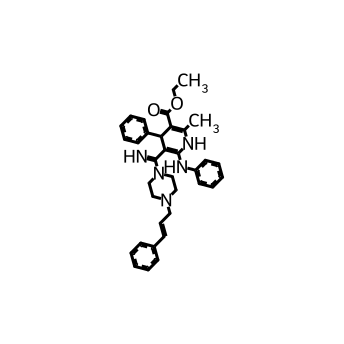 CCOC(=O)C1=C(C)NC(Nc2ccccc2)=C(C(=N)N2CCN(C/C=C/c3ccccc3)CC2)C1c1ccccc1